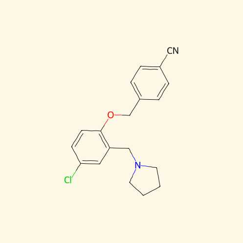 N#Cc1ccc(COc2ccc(Cl)cc2CN2CCCC2)cc1